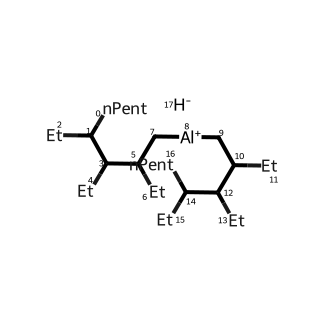 CCCCCC(CC)C(CC)C(CC)[CH2][Al+][CH2]C(CC)C(CC)C(CC)CCCCC.[H-]